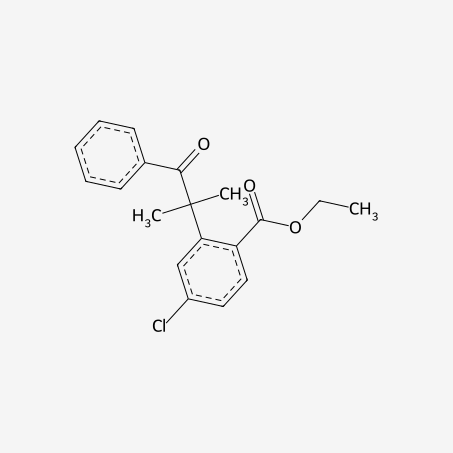 CCOC(=O)c1ccc(Cl)cc1C(C)(C)C(=O)c1ccccc1